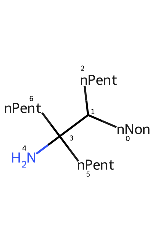 CCCCCCCCCC(CCCCC)C(N)(CCCCC)CCCCC